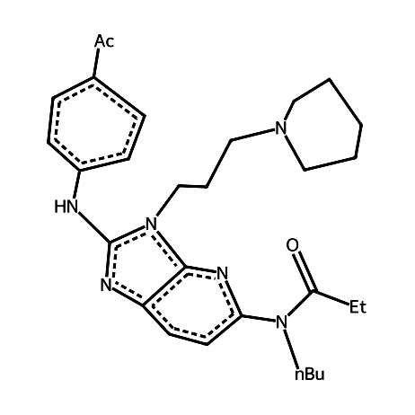 CCCCN(C(=O)CC)c1ccc2nc(Nc3ccc(C(C)=O)cc3)n(CCCN3CCCCC3)c2n1